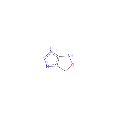 c1nc2c([nH]1)NOC2